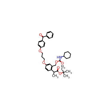 CC(C(=O)OC(C)(C)C)c1ccc(OCCCOc2ccc(C(=O)c3ccccc3)cc2)cc1COC(=O)NC1CCCCC1